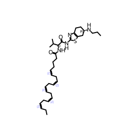 CC/C=C\C/C=C\C/C=C\C/C=C\C/C=C\CCCC(=O)N[C@H](C(=O)Nc1nc2c(s1)C[C@H](NCCC)CC2)C(C)C